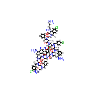 C[C@H](c1ccccc1)N(CC(N)=O)C(=O)CN(C(=O)CN(CCCCN)C(=O)CN(C(=O)CN(C(=O)CN(CCCCN)C(=O)CN(C(=O)CN(C(=O)CN(CCCCN)C(=O)CN(C(=O)CN(C(=O)CNCCCCN)[C@H](C)c1ccc(Cl)cc1)[C@H](C)c1ccccc1)[C@H](C)c1ccc(Cl)cc1)[C@H](C)c1ccccc1)[C@H](C)c1ccc(Cl)cc1)[C@H](C)c1ccccc1)[C@H](C)c1ccc(Cl)cc1